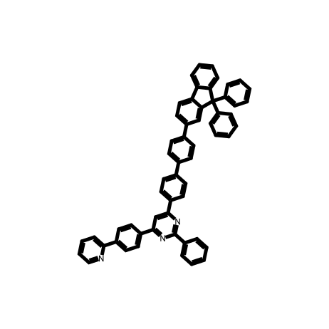 c1ccc(-c2nc(-c3ccc(-c4ccc(-c5ccc6c(c5)C(c5ccccc5)(c5ccccc5)c5ccccc5-6)cc4)cc3)cc(-c3ccc(-c4ccccn4)cc3)n2)cc1